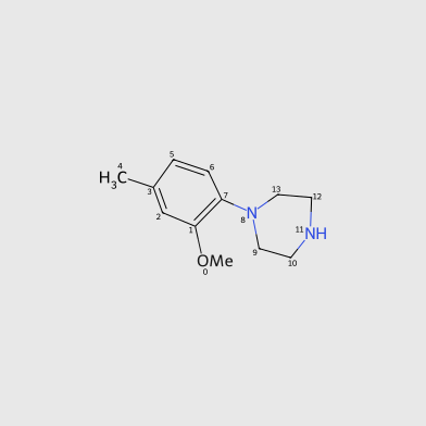 COc1cc(C)ccc1N1CCNCC1